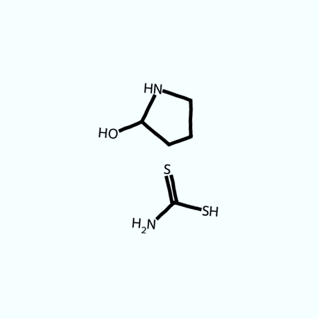 NC(=S)S.OC1CCCN1